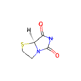 O=C1[N]C(=O)N2CCS[C@@H]12